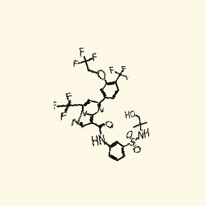 CC(C)(CO)NS(=O)(=O)c1cccc(NC(=O)c2cnn3c(C(F)(F)F)cc(-c4ccc(C(F)(F)F)c(OCC(F)(F)F)c4)nc23)c1